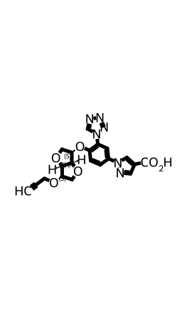 C#CCO[C@H]1CO[C@H]2[C@@H]1OC[C@@H]2Oc1ccc(-n2cc(C(=O)O)cn2)cc1-n1cnnn1